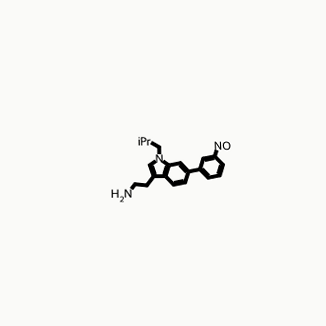 CC(C)Cn1cc(CCN)c2ccc(-c3cccc(N=O)c3)cc21